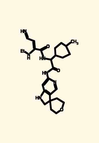 CCN/C(=C\C=N)C(=O)NC(C(=O)Nc1cc2c(cn1)C1(CCOCC1)CN2)C1CCC(C)CC1